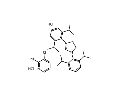 CC(C)c1cccc(C(C)C)c1N1C=[N+](c2c(C(C)C)cccc2C(C)C)CC1.Cl.Cl.Clc1cccn[c]1[Pd]